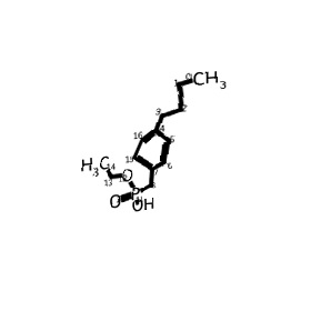 CCCCc1ccc(CP(=O)(O)OCC)cc1